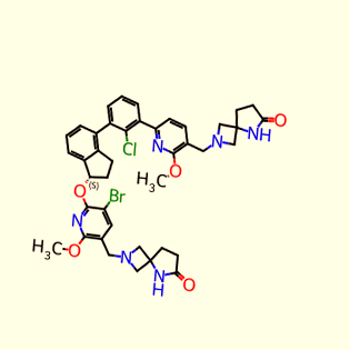 COc1nc(-c2cccc(-c3cccc4c3CC[C@@H]4Oc3nc(OC)c(CN4CC5(CCC(=O)N5)C4)cc3Br)c2Cl)ccc1CN1CC2(CCC(=O)N2)C1